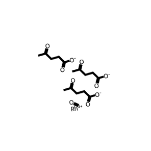 CC(=O)CCC(=O)[O-].CC(=O)CCC(=O)[O-].CC(=O)CCC(=O)[O-].[C]=O.[Rh+3]